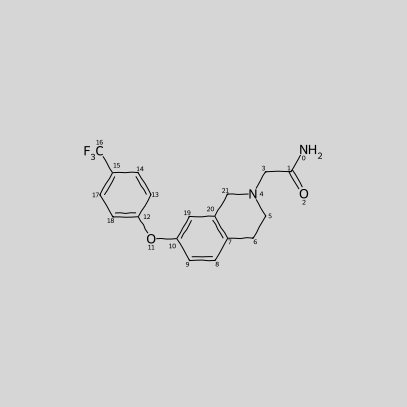 NC(=O)CN1CCc2ccc(Oc3ccc(C(F)(F)F)cc3)cc2C1